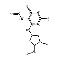 Nc1nc(N[C@H]2C[C@@H](O)[C@@H](CO)O2)c(NC=O)c(=O)[nH]1